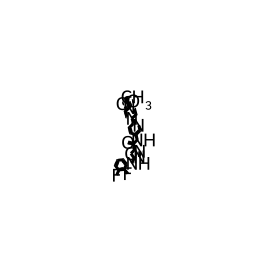 CS(=O)(=O)N1CCN(c2ccc(NC(=O)c3nnc(Nc4cccc(F)c4F)o3)cn2)CC1